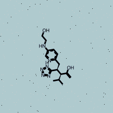 C=C(O)[C@@H](C(C)C)[C@H](Cc1ccc(NCCO)cn1)c1nnn[nH]1